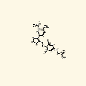 Cc1ccc(C2=C(COc3c(F)cc(CCC(=O)O)cc3F)CCC2)cc1[N+](=O)[O-]